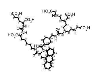 O=C(O)CCC[C@H](NC(=O)N[C@@H](CCCCCNC(=O)[C@H](Cc1c2ccccc2cc2ccccc12)NC(=O)C1CCC(CNC(=O)CN(CCNCC(=O)O)CCN(CCNCC(=O)O)CC(=O)O)CC1)C(=O)O)C(=O)O